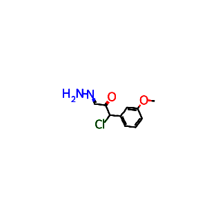 COc1cccc(C(Cl)C(=O)C=NN)c1